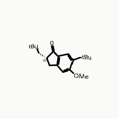 COc1cc2c(cc1C(C)(C)C)C(=O)[C@@H](CC(C)(C)C)C2